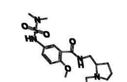 CCN1CCCC1CNC(=O)c1cc(NS(=O)(=O)N(C)C)ccc1OC